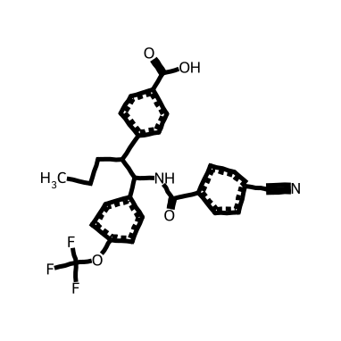 CCCC(c1ccc(C(=O)O)cc1)C(NC(=O)c1ccc(C#N)cc1)c1ccc(OC(F)(F)F)cc1